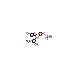 CCN(CC)CCOc1ccc(-c2oc3cc(Cl)ccc3c2C(=O)c2cc(C)cc(C)c2)cc1